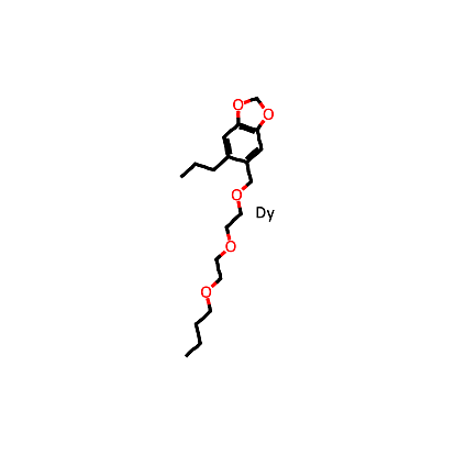 CCCCOCCOCCOCc1cc2c(cc1CCC)OCO2.[Dy]